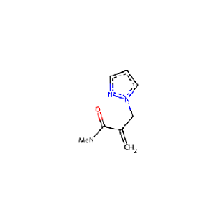 C=C(Cn1cccn1)C(=O)NC